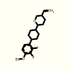 C=CC1CCC(C2CCC(c3ccc(OCC)c(F)c3F)CC2)OC1